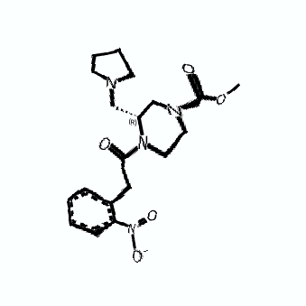 COC(=O)N1CCN(C(=O)Cc2ccccc2[N+](=O)[O-])[C@H](CN2CCCC2)C1